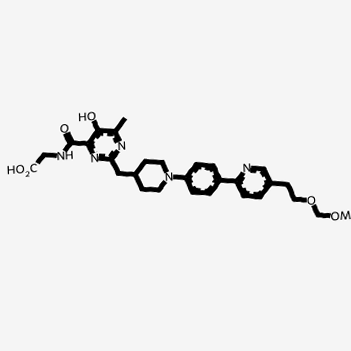 COCOCCc1ccc(-c2ccc(N3CCC(Cc4nc(C)c(O)c(C(=O)NCC(=O)O)n4)CC3)cc2)nc1